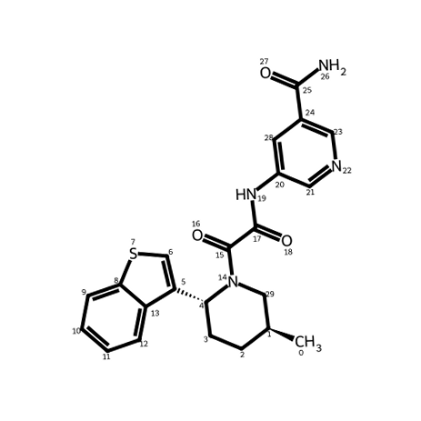 C[C@H]1CC[C@H](c2csc3ccccc23)N(C(=O)C(=O)Nc2cncc(C(N)=O)c2)C1